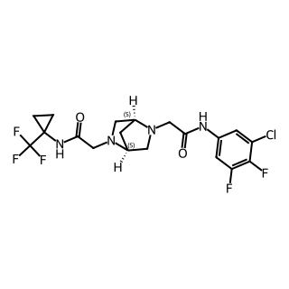 O=C(CN1C[C@@H]2C[C@H]1CN2CC(=O)NC1(C(F)(F)F)CC1)Nc1cc(F)c(F)c(Cl)c1